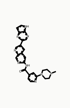 CN1CCN(c2cc(C(=O)Nc3cc4cc(-c5cnc6[nH]ccc6n5)cnc4cn3)ccn2)CC1